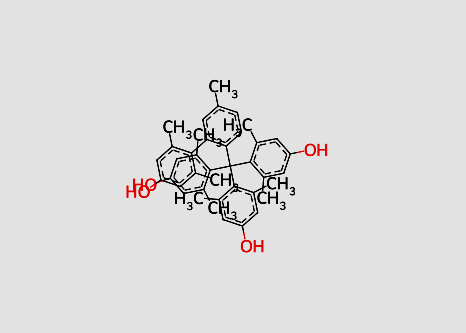 Cc1ccc(C(c2c(C)cc(O)cc2C)(c2c(C)cc(O)cc2C)c2c(C)cc(O)cc2C)c(-c2c(C)cc(O)cc2C)c1